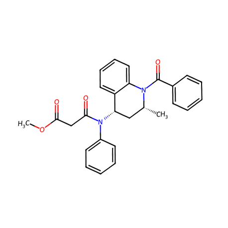 COC(=O)CC(=O)N(c1ccccc1)[C@H]1C[C@@H](C)N(C(=O)c2ccccc2)c2ccccc21